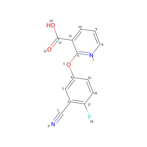 N#Cc1cc(Oc2ncccc2C(=O)O)ccc1F